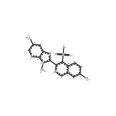 CCS(=O)(=O)c1c(-c2nc3cc(C(F)(F)F)cnc3n2C)ncc2cc(C(F)(F)F)ccc12